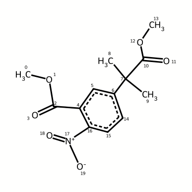 COC(=O)c1cc(C(C)(C)C(=O)OC)ccc1[N+](=O)[O-]